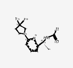 CCC(=O)N[C@H](C)c1cccc(N2CCC(F)(F)C2)n1